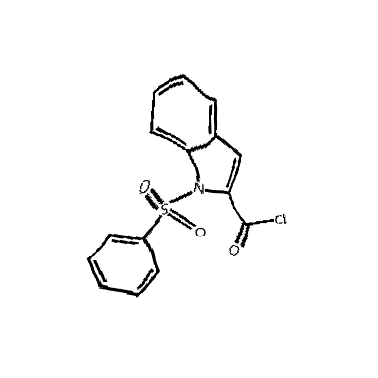 O=C(Cl)c1cc2ccccc2n1S(=O)(=O)c1ccccc1